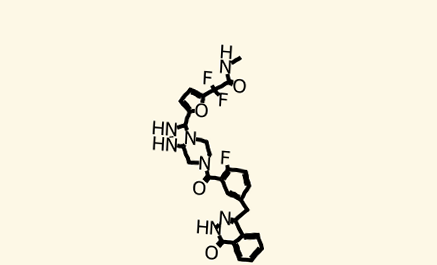 CNC(=O)C(F)(F)c1ccc(C2NNC3CN(C(=O)c4cc(Cc5n[nH]c(=O)c6ccccc56)ccc4F)CCN32)o1